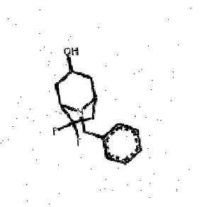 OC1CC2CC(F)(F)C(C1)N2Cc1ccccc1